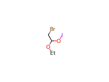 CCOC(CBr)OI